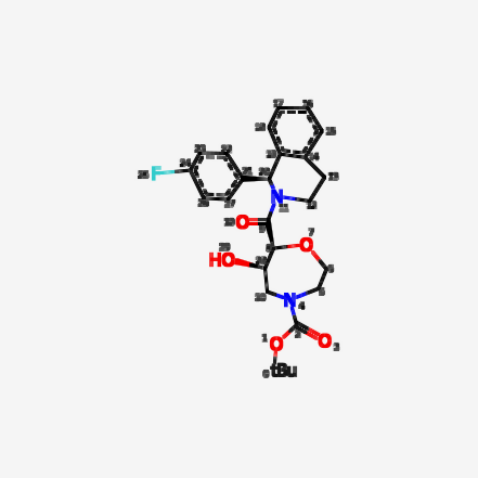 CC(C)(C)OC(=O)N1CCO[C@H](C(=O)N2CCc3ccccc3[C@@H]2c2ccc(F)cc2)[C@H](O)C1